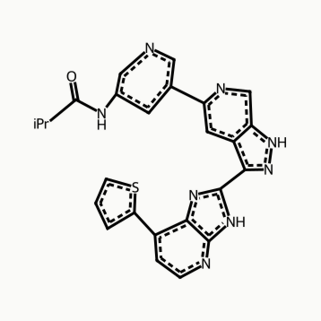 CC(C)C(=O)Nc1cncc(-c2cc3c(-c4nc5c(-c6cccs6)ccnc5[nH]4)n[nH]c3cn2)c1